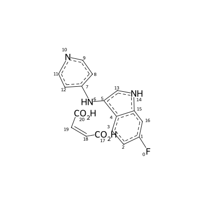 Fc1ccc2c(Nc3ccncc3)c[nH]c2c1.O=C(O)/C=C\C(=O)O